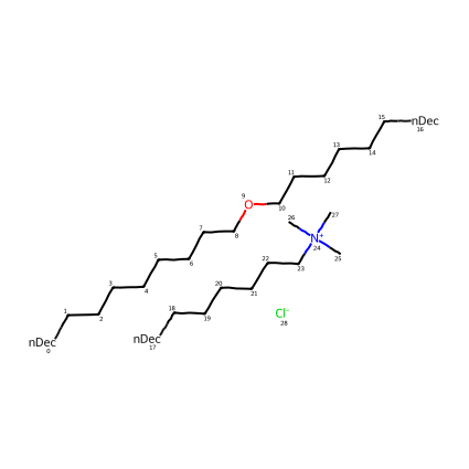 CCCCCCCCCCCCCCCCCCOCCCCCCCCCCCCCCCC.CCCCCCCCCCCCCCCC[N+](C)(C)C.[Cl-]